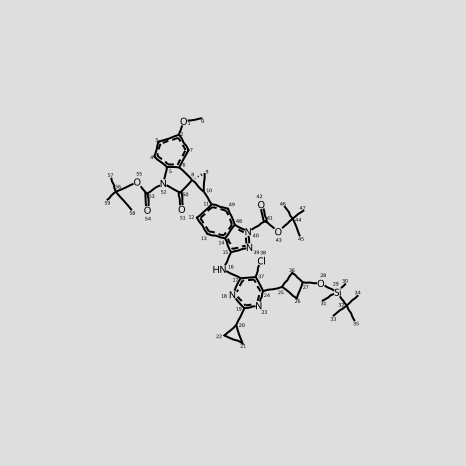 COc1ccc2c(c1)[C@]1(CC1c1ccc3c(Nc4nc(C5CC5)nc(C5CC(O[Si](C)(C)C(C)(C)C)C5)c4Cl)nn(C(=O)OC(C)(C)C)c3c1)C(=O)N2C(=O)OC(C)(C)C